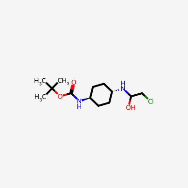 CC(C)(C)OC(=O)N[C@H]1CC[C@H](NC(O)CCl)CC1